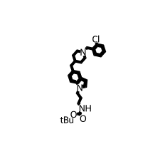 CC(C)(C)OC(=O)NCCCn1ccc2cc(CC3CCN(Cc4ccccc4Cl)CC3)ccc21